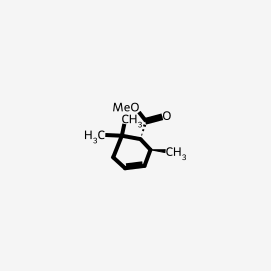 COC(=O)[C@@H]1[C@@H](C)C=CCC1(C)C